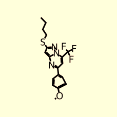 CCCCSc1cc2nc(-c3ccc(OC)cc3)cc(C(F)(F)F)n2n1